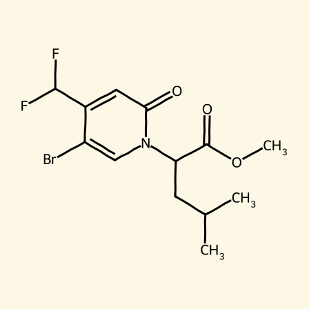 COC(=O)C(CC(C)C)n1cc(Br)c(C(F)F)cc1=O